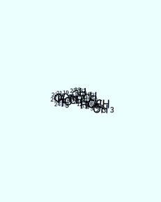 C[C@@]1(O)CC[C@@]2(C)[C@@H](CC[C@@H]3[C@@H]2CC[C@]2(C)[C@@H](C(=O)Cc4ccccc4F)CC[C@@H]32)C1